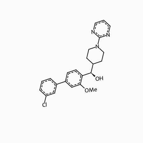 COc1cc(-c2cccc(Cl)c2)ccc1[C@H](O)C1CCN(c2ncccn2)CC1